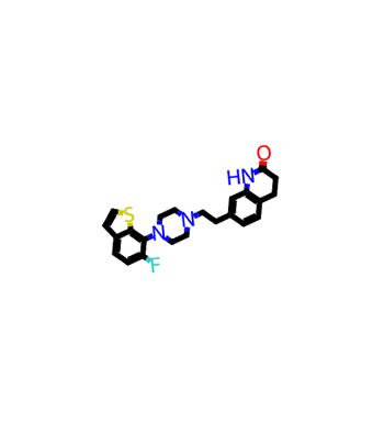 O=C1CCc2ccc(CCN3CCN(c4c(F)ccc5ccsc45)CC3)cc2N1